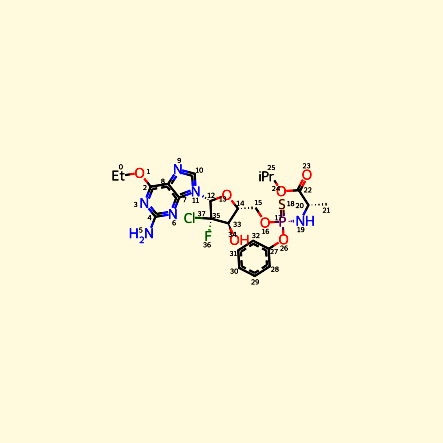 CCOc1nc(N)nc2c1ncn2[C@@H]1O[C@H](CO[P@](=S)(N[C@@H](C)C(=O)OC(C)C)Oc2ccccc2)[C@@H](O)[C@@]1(F)Cl